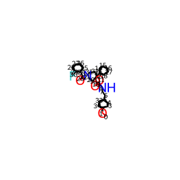 COc1ccc(CCNC(=O)OC2(c3ccccc3)CCN(C(=O)c3ccccc3F)CC2)cc1